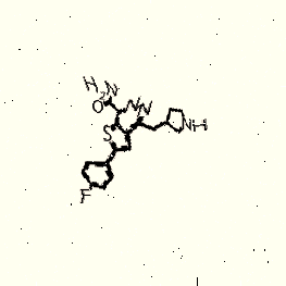 NC(=O)c1nnc(CC2CCNC2)c2cc(-c3ccc(F)cc3)sc12